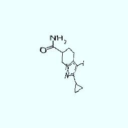 NC(=O)C1CCc2c(I)c(C3CC3)nn2C1